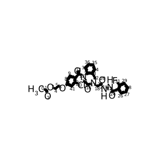 CC(=O)OCCOc1ccc(C(=O)N2CC(=O)N(CC(=O)NNC(=O)c3ccccc3F)Cc3ccccc32)c(Cl)c1